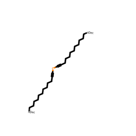 CCCCCCCCCCCCCCCCCCCCC#C[P]C#CCCCCCCCCCCCCCCCCCCCC